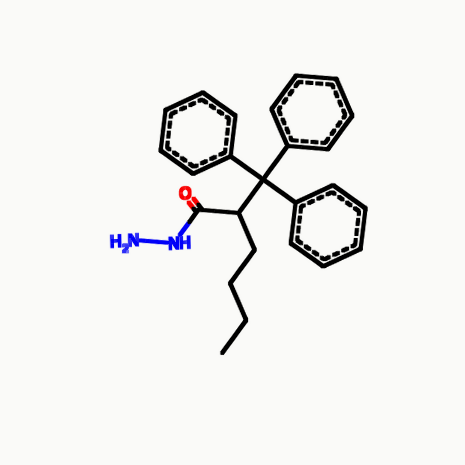 CCCCC(C(=O)NN)C(c1ccccc1)(c1ccccc1)c1ccccc1